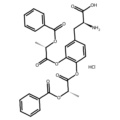 C[C@H](OC(=O)c1ccccc1)C(=O)Oc1ccc(C[C@H](N)C(=O)O)cc1OC(=O)[C@H](C)OC(=O)c1ccccc1.Cl